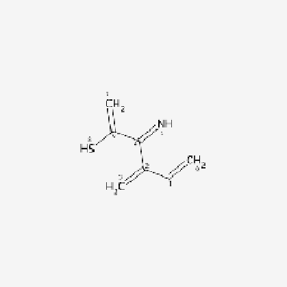 C=CC(=C)C(=N)C(=C)S